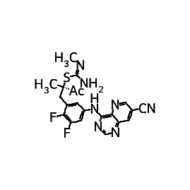 C/N=C(/N)S[C@](C)(Cc1cc(Nc2ncnc3cc(C#N)cnc23)cc(F)c1F)C(C)=O